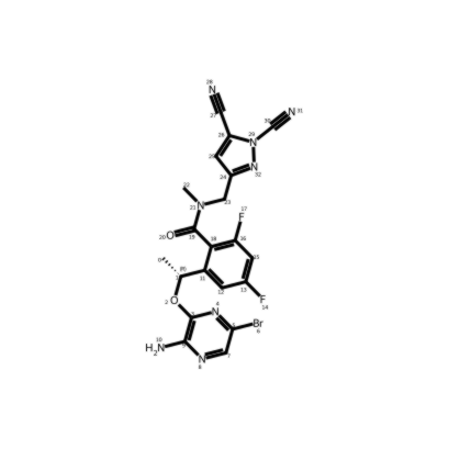 C[C@@H](Oc1nc(Br)cnc1N)c1cc(F)cc(F)c1C(=O)N(C)Cc1cc(C#N)n(C#N)n1